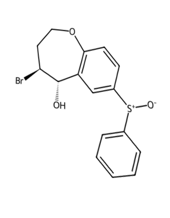 [O-][S+](c1ccccc1)c1ccc2c(c1)[C@H](O)[C@@H](Br)CCO2